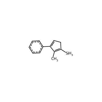 CC1=C([SiH3])CC=C1c1ccccc1